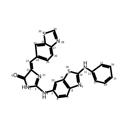 O=C1NC(Nc2ccc3nc(Nc4ccccc4)sc3c2)=N/C1=C\c1ccc2ncsc2c1